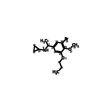 CCCOc1cc(C(C)NC2CC2)cc(Br)c1OC